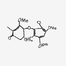 COC1=C(C)C(=O)C[C@@H](C)[C@@H]1Oc1c(Cl)c(OC)cc(OC)c1C=O